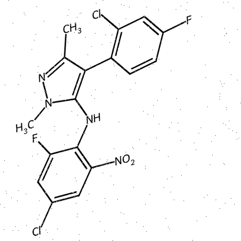 Cc1nn(C)c(Nc2c(F)cc(Cl)cc2[N+](=O)[O-])c1-c1ccc(F)cc1Cl